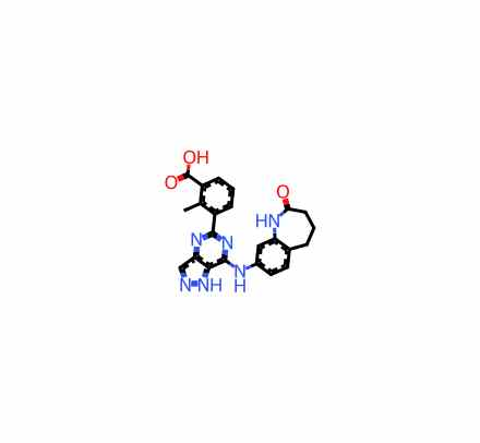 Cc1c(C(=O)O)cccc1-c1nc(Nc2ccc3c(c2)NC(=O)CCC3)c2[nH]ncc2n1